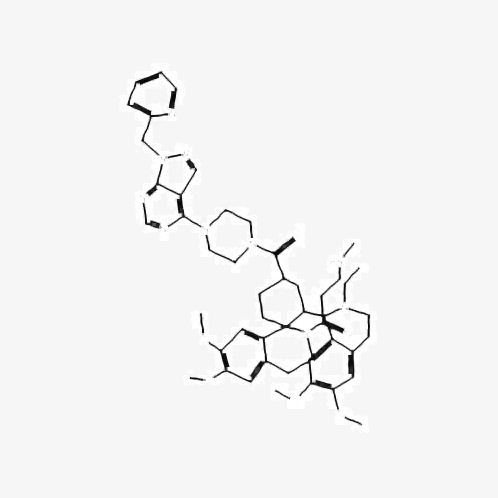 CCN1CCc2cc(OC)c(OC)cc2C1C1CC(C(=O)N2CCN(c3ncnc4c3cnn4Cc3ccccn3)CC2)CCC12c1cc(OC)c(OC)cc1CCN2C(=O)CCNC